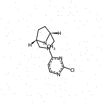 CN1[C@@H]2CC[C@H]1CN(c1ccnc(Cl)n1)C2